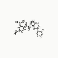 Cc1ccccc1-c1ccc2noc(C(=O)Nc3ccc(C#N)cc3C(=O)O)c2c1